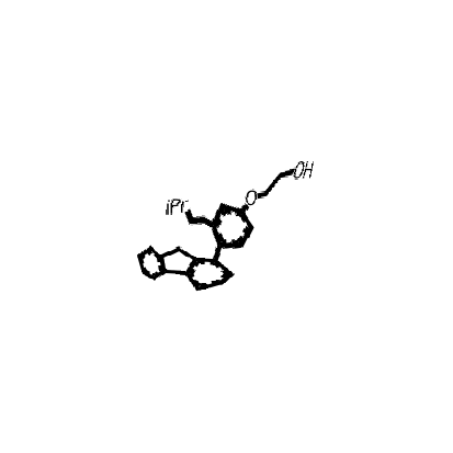 CC(C)Cc1cc(OCCO)ccc1-c1cccc2c1Cc1ccccc1-2